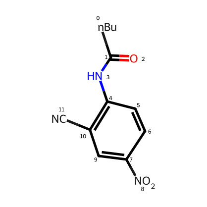 CCCCC(=O)Nc1ccc([N+](=O)[O-])cc1C#N